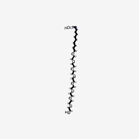 CCCCCCCC/C=C\CCCCCCCCOCCOCCOCCOCCOCCOCCOCCOCCO